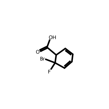 O=C(O)C1C=CC=CC1(F)Br